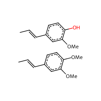 C/C=C/c1ccc(OC)c(OC)c1.CC=Cc1ccc(O)c(OC)c1